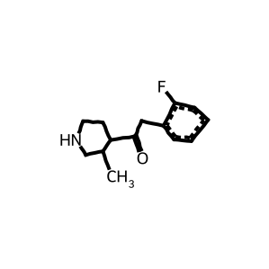 CC1CNCCC1C(=O)Cc1ccccc1F